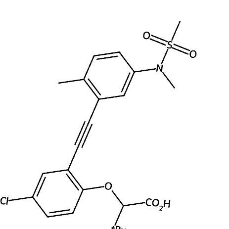 Cc1ccc(N(C)S(C)(=O)=O)cc1C#Cc1cc(Cl)ccc1OC(C(=O)O)C(C)(C)C